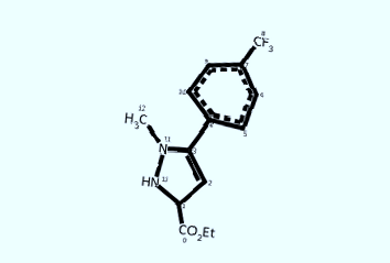 CCOC(=O)C1C=C(c2ccc(C(F)(F)F)cc2)N(C)N1